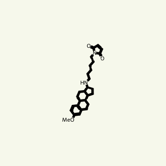 COc1ccc2c(c1)CCC1C2CCC2C(NCCCCCCN3C(=O)C=CC3=O)CCC21